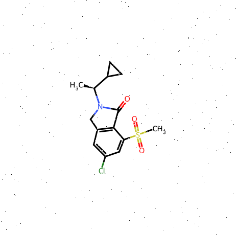 C[C@@H](C1CC1)N1Cc2cc(Cl)cc(S(C)(=O)=O)c2C1=O